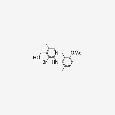 COc1ccc(C)c(Nc2ncc(C)c(CO)c2Br)c1C